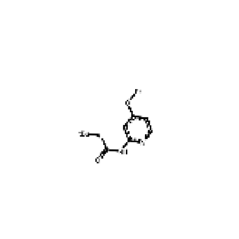 CCOc1ccnc(NC(=O)OC(C)(C)C)c1